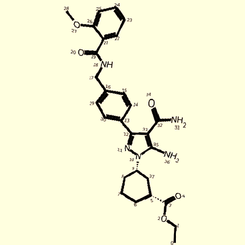 CCOC(=O)[C@@H]1CCC[C@H](n2nc(-c3ccc(CNC(=O)c4ccccc4OC)cc3)c(C(N)=O)c2N)C1